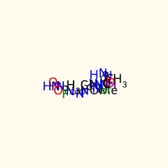 COc1cc(N2CCN(CC3CCN(c4ccc(N5CCC(=O)NC5=O)cc4F)CC3)CC2)c(C)cc1Nc1ncc(Br)c(Nc2ccc3nccnc3c2P(C)(C)=O)n1